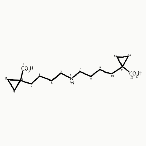 O=C(O)C1(CCCCNCCCCC2(C(=O)O)CC2)CC1